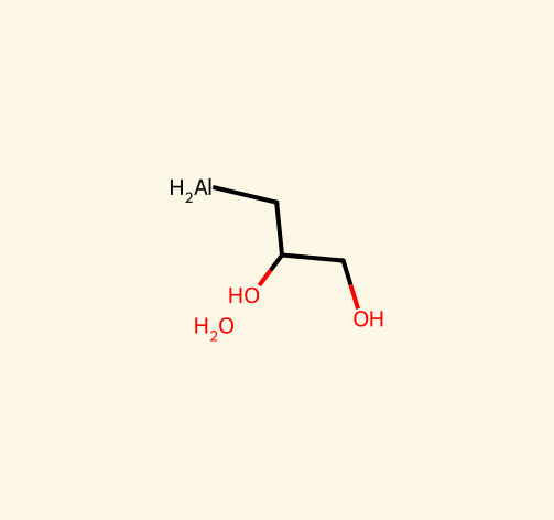 O.OCC(O)[CH2][AlH2]